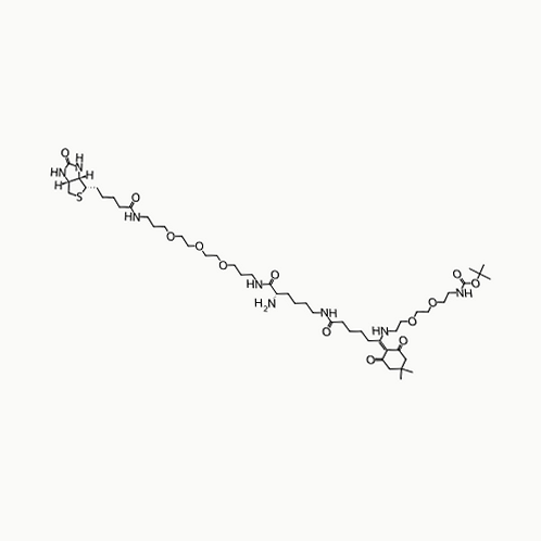 CC1(C)CC(=O)C(=C(CCCCC(=O)NCCCC[C@H](N)C(=O)NCCCOCCOCCOCCCNC(=O)CCCC[C@@H]2SC[C@@H]3NC(=O)N[C@@H]32)NCCOCCOCCNC(=O)OC(C)(C)C)C(=O)C1